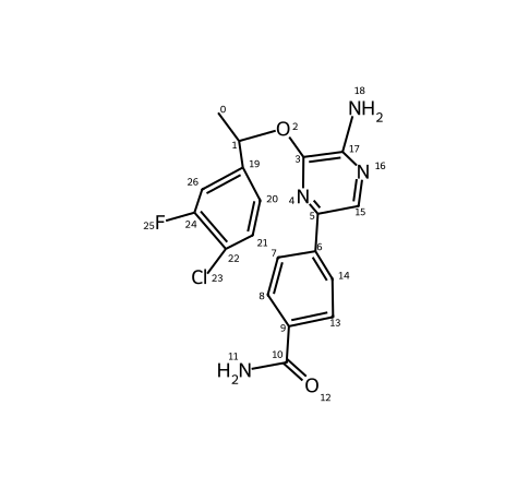 CC(Oc1nc(-c2ccc(C(N)=O)cc2)cnc1N)c1ccc(Cl)c(F)c1